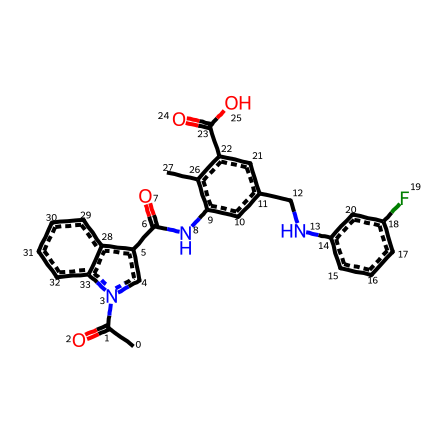 CC(=O)n1cc(C(=O)Nc2cc(CNc3cccc(F)c3)cc(C(=O)O)c2C)c2ccccc21